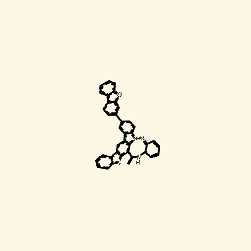 C=C1NC2C=CC=C/C2=N/n2c3ccc(-c4ccc5c(c4)oc4ccccc45)cc3c3cc4c(sc5ccccc54)c1c32